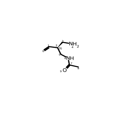 C=C[C@@H](CN)CNC(C)=O